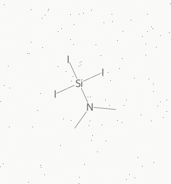 CN(C)[Si](I)(I)I